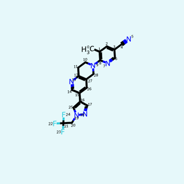 Cc1cc(C#N)cnc1N1CCc2ncc(-c3cnn(CC(F)(F)F)c3)cc2C1